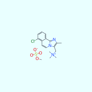 COS(=O)(=O)[O-].Cc1nc2c3cccc(Cl)c3ccn2c1C[N+](C)(C)C